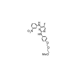 COCCOCOc1ccc(Nc2ncc(F)c(Nc3cccc([N+](=O)[O-])c3)n2)cc1